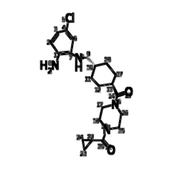 Nc1ccc(Cl)cc1NC[C@H]1CC[C@H](C(=O)N2CCN(C(=O)C3CC3)CC2)CC1